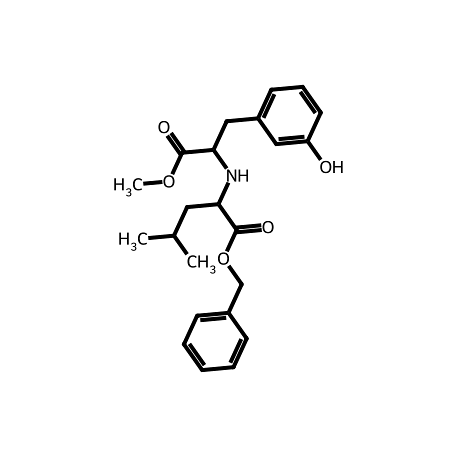 COC(=O)C(Cc1cccc(O)c1)NC(CC(C)C)C(=O)OCc1ccccc1